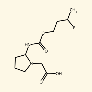 CC(F)CCOC(=O)NC1CCCN1CC(=O)O